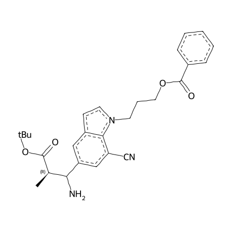 C[C@@H](C(=O)OC(C)(C)C)C(N)c1cc(C#N)c2c(ccn2CCCOC(=O)c2ccccc2)c1